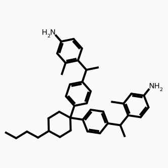 CCCCC1CCC(c2ccc(C(C)c3ccc(N)cc3C)cc2)(c2ccc(C(C)c3ccc(N)cc3C)cc2)CC1